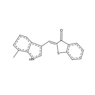 Cc1cccc2c(/C=C3\Sc4ccccc4C3=O)c[nH]c12